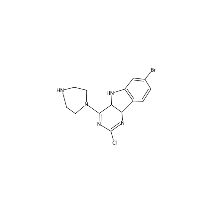 ClC1=NC2c3ccc(Br)cc3NC2C(N2CCNCC2)=N1